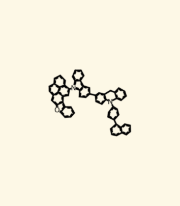 c1ccc2c(c1)Cc1cc(-c3ccc4c(c3)c3ccccc3n4-c3cc4c5c(cc6ccc7cccc3c7c64)oc3ccccc35)ccc1N2c1ccc(-c2cccc3ccccc23)cc1